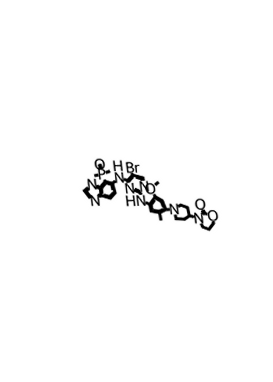 COc1cc(N2CCC(N3CCCOC3=O)CC2)c(C)cc1Nc1ncc(Br)c(Nc2ccc3nccnc3c2P(C)(C)=O)n1